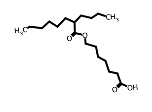 CCCCCCC(CCCC)C(=O)OCCCCCCC(=O)O